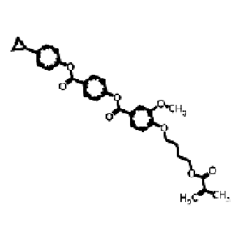 C=C(C)C(=O)OCCCCOc1ccc(C(=O)Oc2ccc(C(=O)Oc3ccc(C4CC4)cc3)cc2)cc1OC